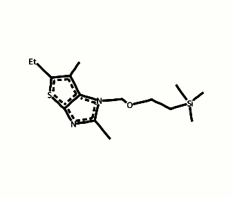 CCc1sc2nc(C)n(COCC[Si](C)(C)C)c2c1C